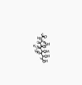 CC(=O)N[C@@H](CS)C(=O)C(=O)[C@H](N)[C@@H](O)[C@H](O)[C@H](O)CO